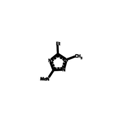 CCc1nc(NC)nn1C